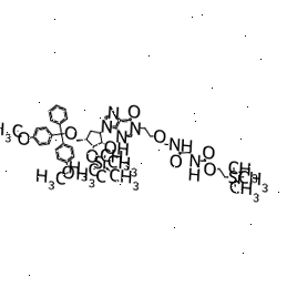 COc1ccc(C(OC[C@H]2C[C@@H](n3cnc4c(=O)n(CCOCNC(=O)CNC(=O)OCC[Si](C)(C)C)cnc43)[C@H](O)[C@@H]2O[Si](C)(C)C(C)(C)C)(c2ccccc2)c2ccc(OC)cc2)cc1